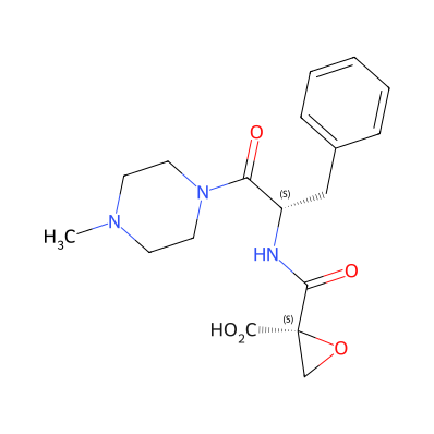 CN1CCN(C(=O)[C@H](Cc2ccccc2)NC(=O)[C@]2(C(=O)O)CO2)CC1